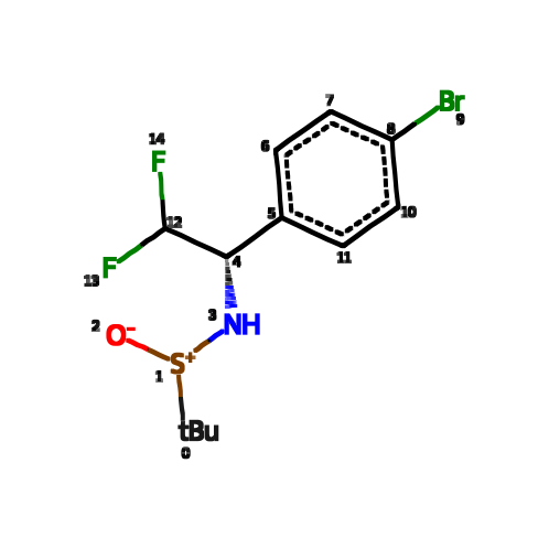 CC(C)(C)[S+]([O-])N[C@@H](c1ccc(Br)cc1)C(F)F